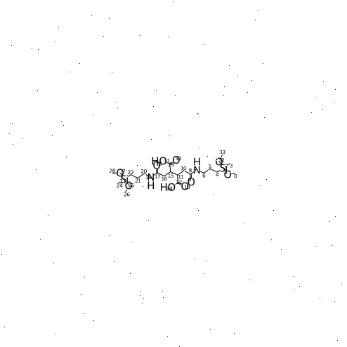 CO[Si](C)(CCCNC(=O)CC(C(=O)O)C(CC(=O)NCCC[Si](C)(OC)OC)C(=O)O)OC